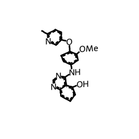 COc1cc(Nc2ncnc3cccc(O)c23)ccc1Oc1ccc(C)nc1